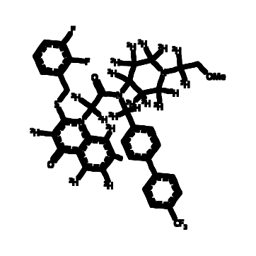 [2H]c1c(C)c([2H])c2c(c1[2H])c(=O)c([2H])c(SCc1cccc(F)c1F)n2C([2H])([2H])C(=O)N(C([2H])([2H])c1ccc(-c2ccc(C(F)(F)F)cc2)cc1)C1([2H])C([2H])([2H])C([2H])([2H])N(C([2H])([2H])COC)C([2H])([2H])C1([2H])[2H]